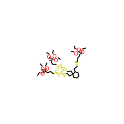 CCO[Si](CCCSCCC1CCCCC1(CCSSSSCCC[Si](OCC)(OCC)OCC)CCSSSSCCC[Si](OCC)(OCC)OCC)(OCC)OCC